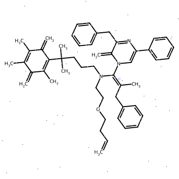 C=CCCOCCN(CCCC(C)(C)c1c(C)c(=C)c(C)c(C)c1=C)/C(=C(/C)Cc1ccccc1)N1C=C(c2ccccc2)N=C(Cc2ccccc2)C1=C